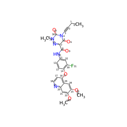 CCC#Cn1c(=O)c(C(=O)Nc2ccc(Oc3ccnc4cc(OC)c(OC)cc34)c(F)c2)nn(C)c1=O